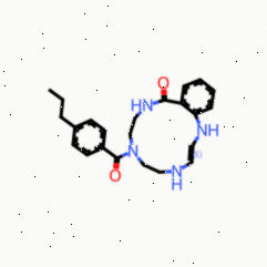 CCCc1ccc(C(=O)N2CCN/C=C/Nc3ccccc3C(=O)NCC2)cc1